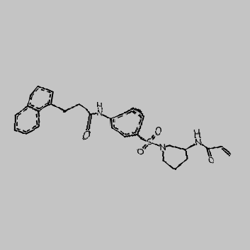 C=CC(=O)N[C@H]1CCCN(S(=O)(=O)c2ccc(NC(=O)CCc3cccc4ccccc34)cc2)C1